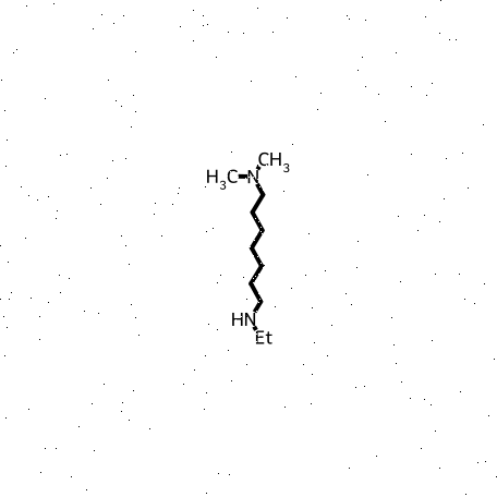 CCNCCCCCCCN(C)C